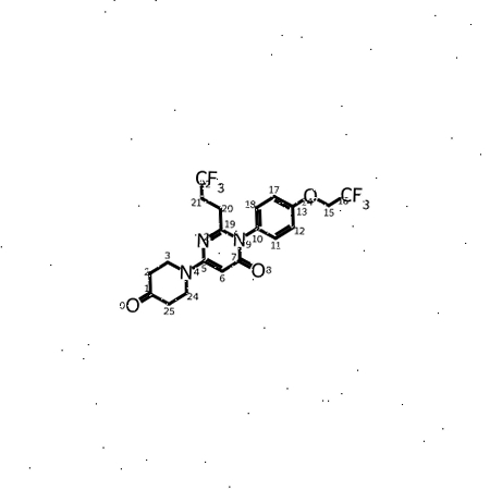 O=C1CCN(c2cc(=O)n(-c3ccc(OCC(F)(F)F)cc3)c(CCC(F)(F)F)n2)CC1